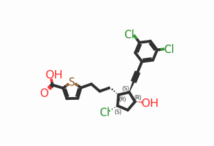 O=C(O)c1ccc(CCC[C@@H]2[C@@H](C#Cc3cc(Cl)cc(Cl)c3)[C@H](O)C[C@@H]2Cl)s1